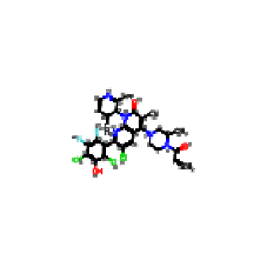 C=CC(=O)N1CCN(c2c(C#N)c(=O)n(C3C(C(C)C)=NC=CC3C)c3nc(-c4c(F)c(F)c(Cl)c(O)c4Cl)c(Cl)cc23)C[C@H]1C